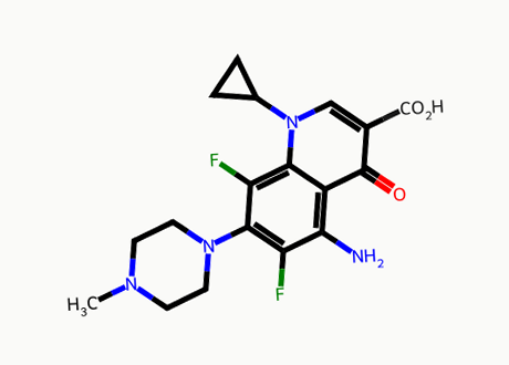 CN1CCN(c2c(F)c(N)c3c(=O)c(C(=O)O)cn(C4CC4)c3c2F)CC1